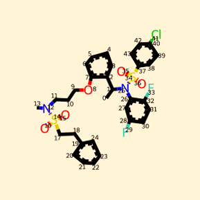 CC(c1ccccc1OCCCN(C)S(=O)(=O)CCc1ccccc1)N(c1cc(F)ccc1F)S(=O)(=O)c1ccc(Cl)cc1